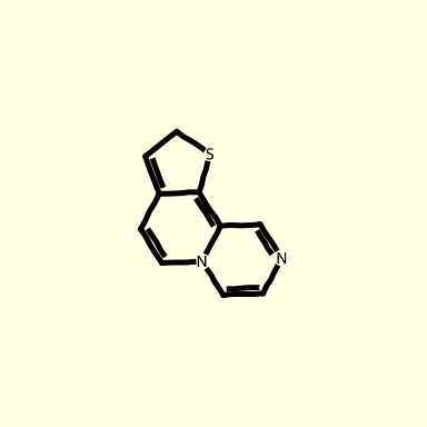 C1=CN2C=CC3=CCSC3=C2C=N1